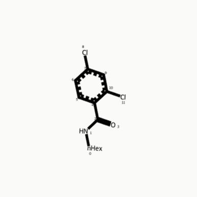 CCCCCCNC(=O)c1ccc(Cl)cc1Cl